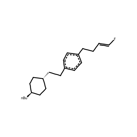 CCCC[C@H]1CC[C@H](CCc2ccc(CC/C=C/F)cc2)CC1